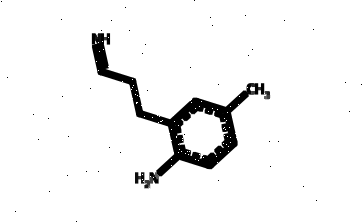 Cc1ccc(N)c(CCC=N)c1